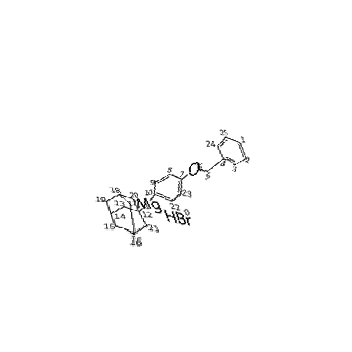 Br.c1ccc(COc2cc[c]([Mg][C]34CC5CC(CC(C5)C3)C4)cc2)cc1